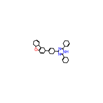 C1=CC([C@@H]2N=C(C3CC=C(C4C=CC5=C(C4)C4C=CCCC4O5)CC3)N=C(C3=CCCCC3)N2)CCC1